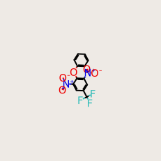 O=[N+]([O-])c1cc(C(F)(F)F)cc([N+](=O)[O-])c1Oc1ccccc1